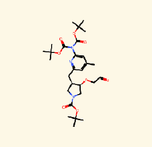 Cc1cc(C[C@@H]2CN(C(=O)OC(C)(C)C)C[C@@H]2OCC=O)nc(N(C(=O)OC(C)(C)C)C(=O)OC(C)(C)C)c1